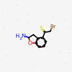 NC1Cc2c(cccc2C(=S)CBr)O1